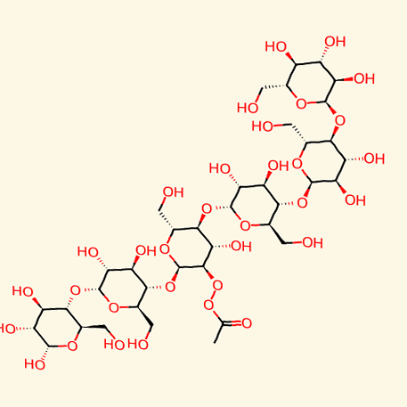 CC(=O)OO[C@H]1[C@@H](O[C@H]2[C@H](O)[C@@H](O)[C@@H](O[C@H]3[C@H](O)[C@@H](O)[C@@H](O)O[C@@H]3CO)O[C@@H]2CO)O[C@H](CO)[C@@H](O[C@H]2O[C@H](CO)[C@@H](O[C@H]3O[C@H](CO)[C@@H](O[C@H]4O[C@H](CO)[C@@H](O)[C@H](O)[C@H]4O)[C@H](O)[C@H]3O)[C@H](O)[C@H]2O)[C@@H]1O